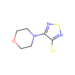 Sc1nsnc1N1CCOCC1